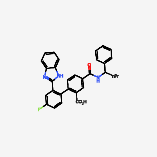 CCCC(NC(=O)c1ccc(-c2ccc(F)cc2-c2nc3ccccc3[nH]2)c(C(=O)O)c1)c1ccccc1